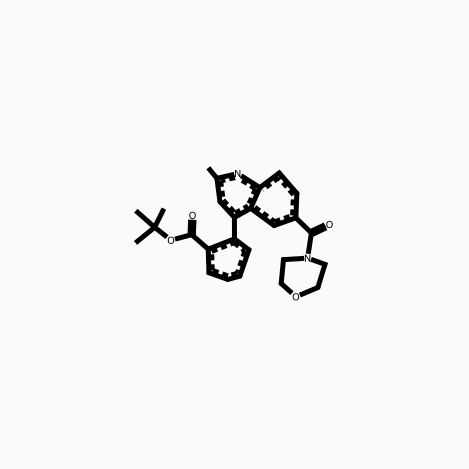 Cc1cc(-c2ccccc2C(=O)OC(C)(C)C)c2cc(C(=O)N3CCOCC3)ccc2n1